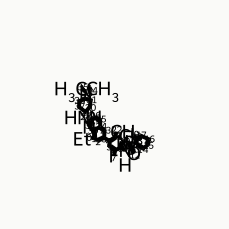 CCc1cc(-c2cc(F)c(NS(=O)(=O)c3ccccc3Cl)nc2C)cc2cnc(N[C@H]3CC[C@H](N(C)C)CC3)nc12